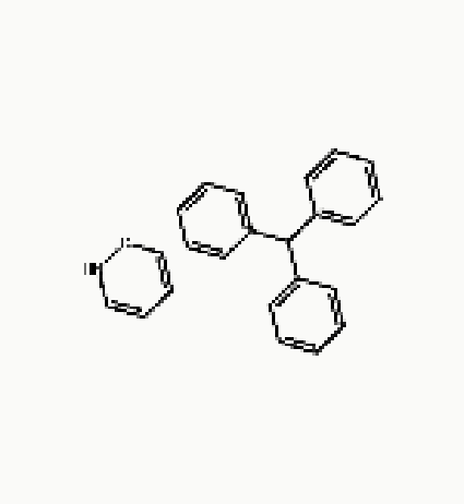 C1=CNOC=C1.c1ccc(C(c2ccccc2)c2ccccc2)cc1